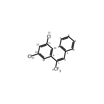 FC(F)(F)C(=Cc1[c]cccc1)c1cc(Cl)cc(Cl)c1